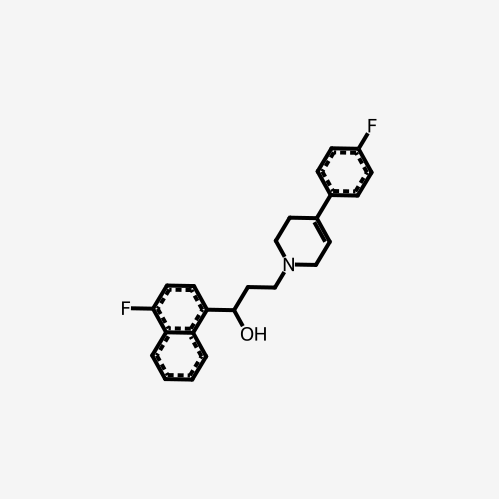 OC(CCN1CC=C(c2ccc(F)cc2)CC1)c1ccc(F)c2ccccc12